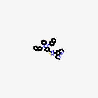 c1ccc2c(c1)N(c1ccc3ccccc3c1)c1ccc(-c3nc(-c4cc5cccnc5c5ncccc45)ns3)cc1N2c1ccc2ccccc2c1